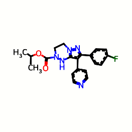 CC(C)OC(=O)N1CCn2nc(-c3ccc(F)cc3)c(-c3ccncc3)c2N1